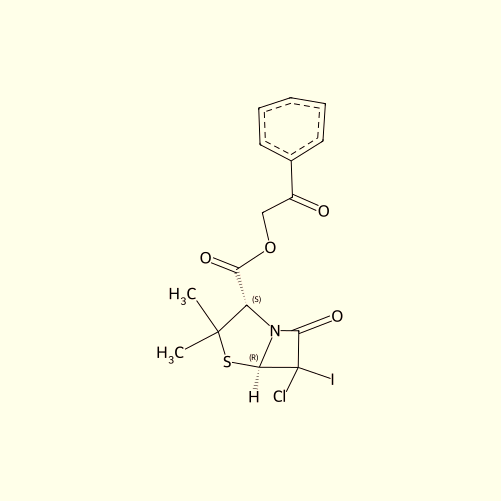 CC1(C)S[C@H]2N(C(=O)C2(Cl)I)[C@H]1C(=O)OCC(=O)c1ccccc1